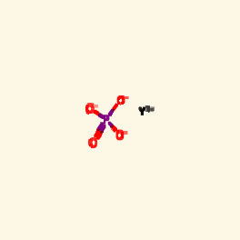 O=P([O-])([O-])[O-].[Y+3]